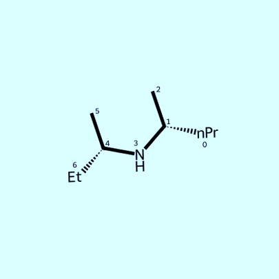 CCC[C@@H](C)N[C@@H](C)CC